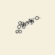 COC(=O)c1ccc(OC)c(S(=O)(=O)N2CCN(c3nc(Cc4ccc(C)cc4)ns3)CC2)c1